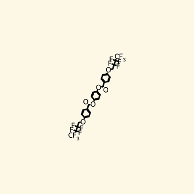 O=C(Oc1ccc(OC(=O)c2ccc(OCC(F)(F)C(F)(F)C(F)(F)F)cc2)cc1)c1ccc(OCC(F)(F)C(F)(F)C(F)(F)F)cc1